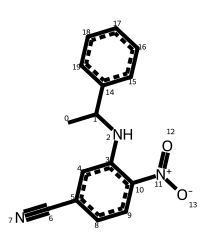 CC(Nc1cc(C#N)ccc1[N+](=O)[O-])c1ccccc1